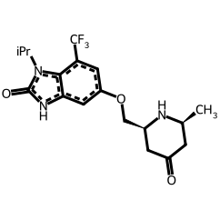 CC(C)n1c(=O)[nH]c2cc(OC[C@@H]3CC(=O)C[C@H](C)N3)cc(C(F)(F)F)c21